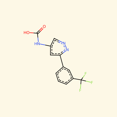 O=C(O)Nc1cnnc(-c2cccc(C(F)(F)F)c2)c1